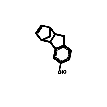 O=Cc1ccc2c(c1)C1C3C=CC(C3)C1C2